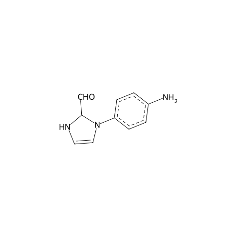 Nc1ccc(N2C=CNC2C=O)cc1